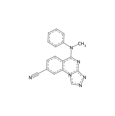 CN(c1ccccc1)c1nc2nncn2c2cc(C#N)ccc12